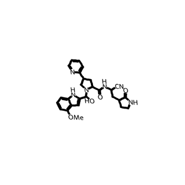 COc1cccc2[nH]c(C(O)N3CC(c4ccccn4)CC3C(=O)NC(C#N)CC3CCNC3=O)cc12